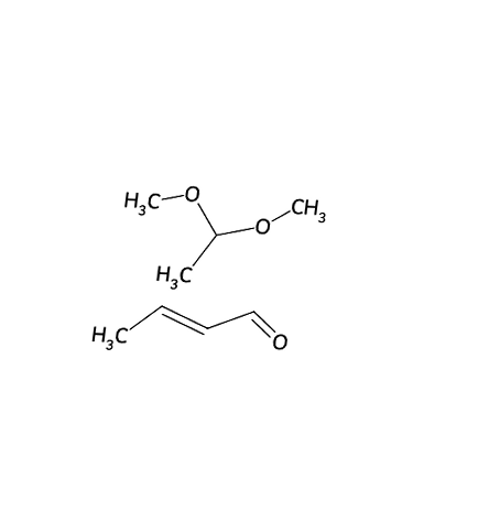 C/C=C/C=O.COC(C)OC